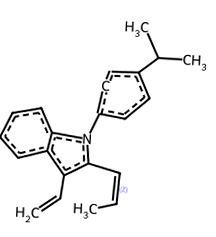 C=Cc1c(/C=C\C)n(-c2ccc(C(C)C)cc2)c2ccccc12